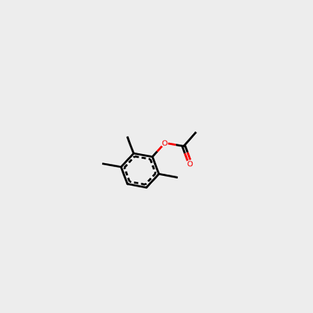 CC(=O)Oc1c(C)ccc(C)c1C